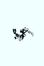 CC(C)Oc1cc(C2CCN(C)CC2)ccc1Nc1ncc2sc(C(N)=O)c(-c3cnn(C)c3)c2n1